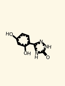 O=c1[nH]nc(-c2ccc(O)cc2O)[nH]1